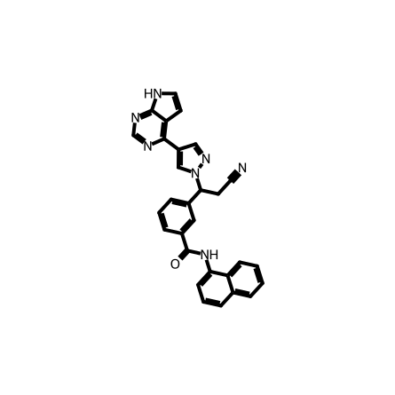 N#CCC(c1cccc(C(=O)Nc2cccc3ccccc23)c1)n1cc(-c2ncnc3[nH]ccc23)cn1